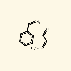 C=C/C=C\C.C=Cc1ccccc1